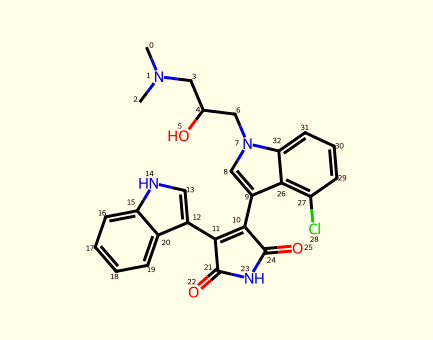 CN(C)CC(O)Cn1cc(C2=C(c3c[nH]c4ccccc34)C(=O)NC2=O)c2c(Cl)cccc21